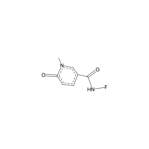 Cn1cc(C(=O)NF)ccc1=O